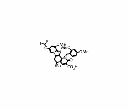 COc1ccc(Cn2c3c(cc(C(=O)O)c2=O)C(C(C)(C)C)Cc2c-3nc3c(OC)cc(OC(F)F)cn23)c(OC)c1